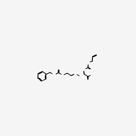 C=CCOC(=O)N[C@@H](CSCCNC(=O)OCc1ccccc1)C(=O)O